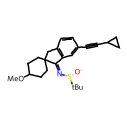 COC1CCC2(CC1)Cc1ccc(C#CC3CC3)cc1C2=N[S+]([O-])C(C)(C)C